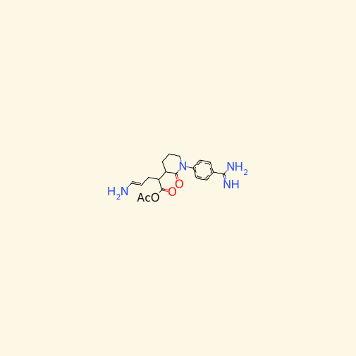 CC(=O)OC(=O)C(CC=CN)C1CCCN(c2ccc(C(=N)N)cc2)C1=O